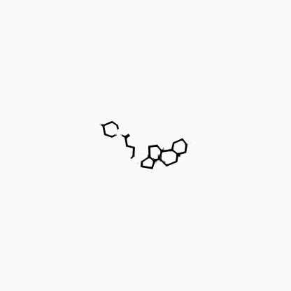 CC(CCC(=O)N1CCC(O)CC1)[C@H]1CC[C@H]2[C@@H]3CC[C@H]4C[C@@H](O)CC[C@]4(C)[C@H]3CC[C@]12C